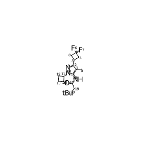 Cc1c(C2CC(F)(F)C2)nn(C2CCC2)c1NC(=O)CC(C)(C)C